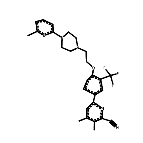 Cc1cccc(N2CCN(CCOc3ccc(-c4cc(C)c(C)c(C#N)n4)cc3C(F)(F)F)CC2)n1